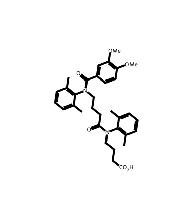 COc1ccc(C(=O)N(CCCC(=O)N(CCCC(=O)O)c2c(C)cccc2C)c2c(C)cccc2C)cc1OC